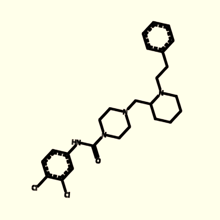 O=C(Nc1ccc(Cl)c(Cl)c1)N1CCN(CC2CCCCN2CCc2ccccc2)CC1